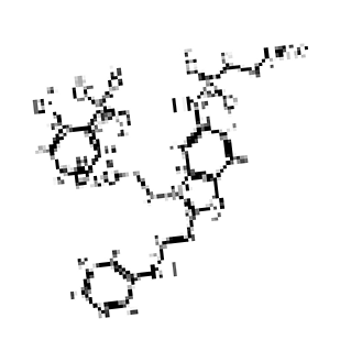 COCC[n+]1c(C=CNc2ccccc2)oc2ccc(NS(=O)(=O)CCOC)cc21.O=S(=O)([O-])c1ccccc1Br